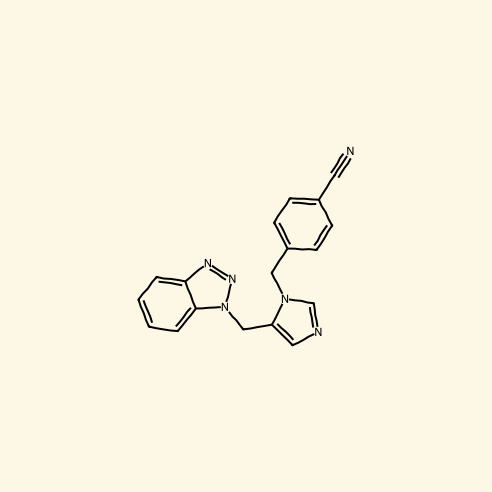 N#Cc1ccc(Cn2cncc2Cn2nnc3ccccc32)cc1